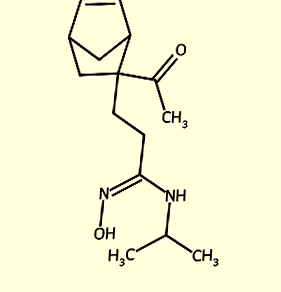 CC(=O)C1(CCC(=NO)NC(C)C)CC2C=CC1C2